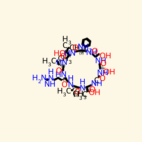 CC(C)C[C@@H]1NC(=O)[C@H]([C@H](O)C(C)C)NC(=O)[C@@H](N)[C@@H](c2ccccc2)NC(=O)C(CO)NC(=O)[C@H](CO)NC(=O)CNC(=O)[C@H]([C@H](C)O)NC(=O)[C@H](C(C)C)NC(=O)[C@@H](CCCNC(=N)N)NC1=O